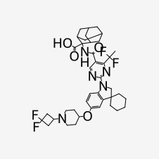 CC(F)(F)c1nc(N2CC3(CCCCC3)c3cc(OC4CCN(C5CC(F)(F)C5)CC4)ccc32)ncc1C(=O)NC1(C(=O)O)C2CC3CC(C2)CC1C3